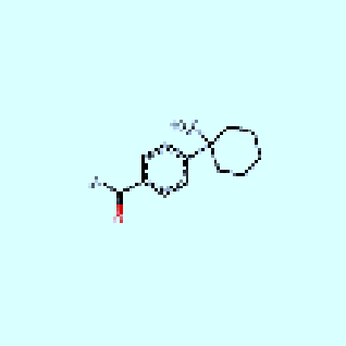 O=C(c1ccc(C2(C(=O)O)CCCCC2)cc1)C(F)(F)F